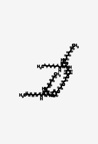 CCCCCCCCNc1nc(NCCCCCCCC)nc(Nc2ccc(OCCCOCCCOc3ccc(Nc4nc(NCCCCCCCC)nc(NCCCCCCCC)n4)cc3)cc2)n1